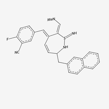 CN/C=C1\C(=C\c2ccc(F)c(C#N)c2)C=CC(Cc2ccc3ccccc3c2)NS1=N